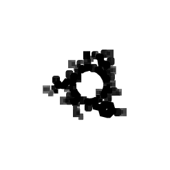 CCC(C)C1NC(=O)C(NC(=O)CC(C)O)C(C)OC(=O)C(C)NC(=O)C(CCC(N)=O)NC(=O)C(C(C)O)NC(=O)C(Cc2ccc(O)cc2)NC1=O